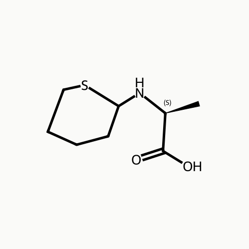 C[C@H](NC1CCCCS1)C(=O)O